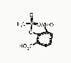 COc1cccc(C(=O)O)c1OS(=O)(=O)C(F)(F)F